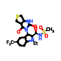 CCn1c(C(=O)NS(C)(=O)=O)c(-n2c(=O)[nH]c3cscc3c2=O)c2cc(C(F)(F)F)ccc21